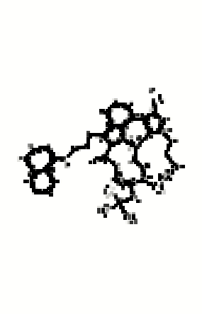 CCOC(=O)c1c(CCCOc2cccc3ccccc23)c2cccc(-c3c(C)nn(CCOC)c3C)c2n1CCCN(C)C(=O)OC(C)(C)C